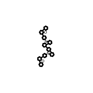 c1ccc2c(c1)oc1c(-c3ccc(-n4c5ccccc5c5ccc(-c6cccc7c6c6ccccc6n7-c6ccc(-c7cccc8c7oc7ccccc78)cc6)cc54)cc3)cccc12